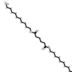 O=C(CCCCC(=O)OCCCCCCCCCCO)OCCCCCCCCCCO